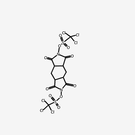 O=C1C2CC3C(=O)N(OS(=O)(=O)C(Cl)(Cl)Cl)C(=O)C3CC2C(=O)N1OS(=O)(=O)C(Cl)(Cl)Cl